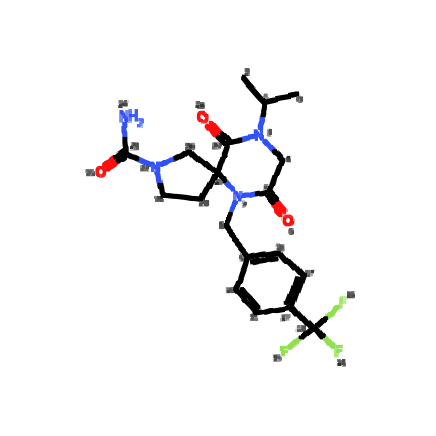 CC(C)N1CC(=O)N(Cc2ccc(C(F)(F)F)cc2)C2(CCN(C(N)=O)C2)C1=O